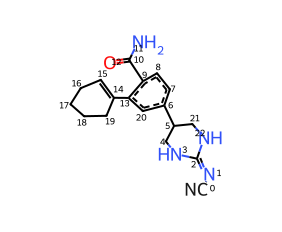 N#CN=C1NCC(c2ccc(C(N)=O)c(C3=CCCCC3)c2)CN1